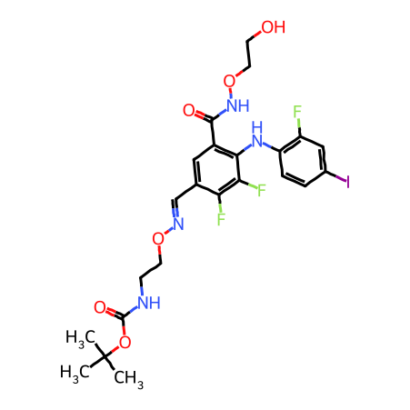 CC(C)(C)OC(=O)NCCO/N=C/c1cc(C(=O)NOCCO)c(Nc2ccc(I)cc2F)c(F)c1F